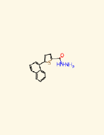 NNC(=O)c1ccc(-c2cccc3ccccc23)s1